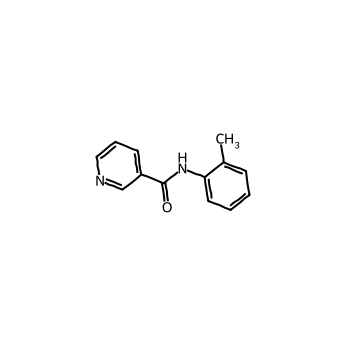 Cc1ccccc1NC(=O)c1cccnc1